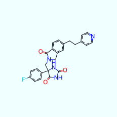 O=C1NC(=O)C(CN2Cc3cc(CCc4ccncc4)ccc3C2=O)(c2ccc(F)cc2)N1